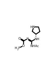 CC(=O)NC(=NC(=O)OP)N[C@H]1CCNC1